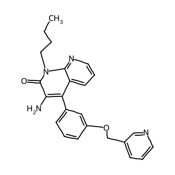 CCCCn1c(=O)c(N)c(-c2cccc(OCc3cccnc3)c2)c2cccnc21